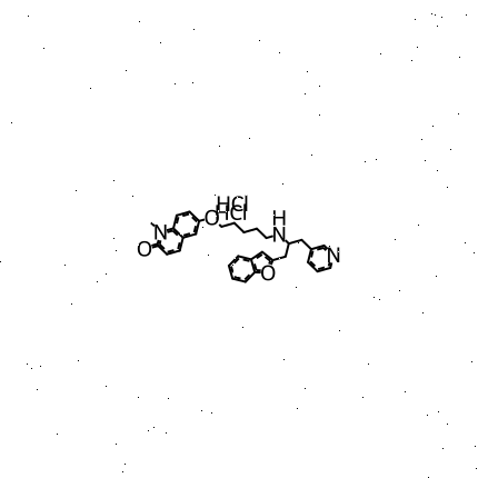 Cl.Cl.Cn1c(=O)ccc2cc(OCCCCCNC(Cc3cccnc3)Cc3cc4ccccc4o3)ccc21